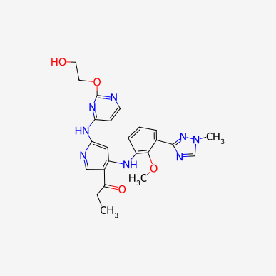 CCC(=O)c1cnc(Nc2ccnc(OCCO)n2)cc1Nc1cccc(-c2ncn(C)n2)c1OC